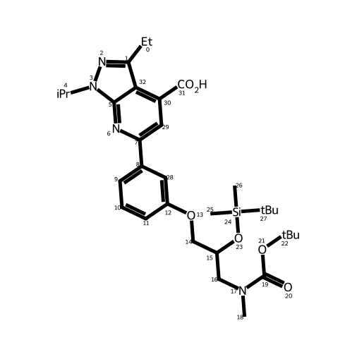 CCc1nn(C(C)C)c2nc(-c3cccc(OCC(CN(C)C(=O)OC(C)(C)C)O[Si](C)(C)C(C)(C)C)c3)cc(C(=O)O)c12